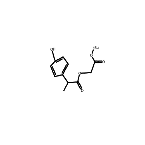 CC(C(=O)OCC(=O)OC(C)(C)C)c1ccc(O)cc1